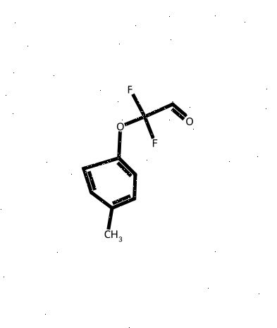 Cc1ccc(OC(F)(F)[C]=O)cc1